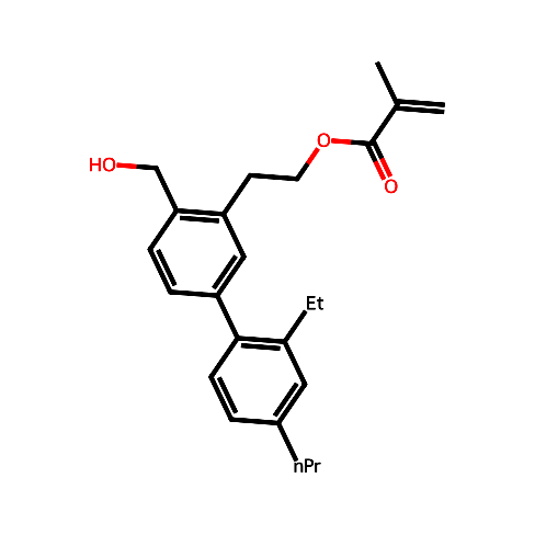 C=C(C)C(=O)OCCc1cc(-c2ccc(CCC)cc2CC)ccc1CO